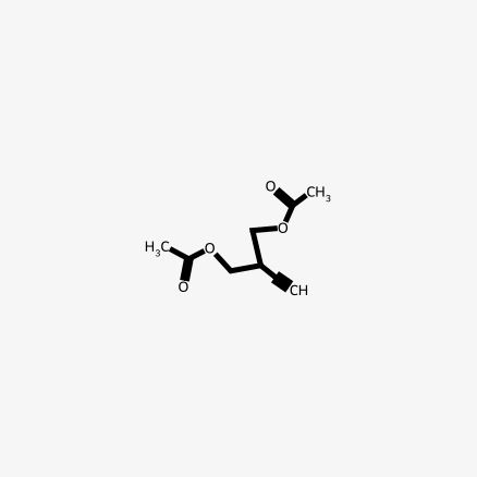 C#CC(COC(C)=O)COC(C)=O